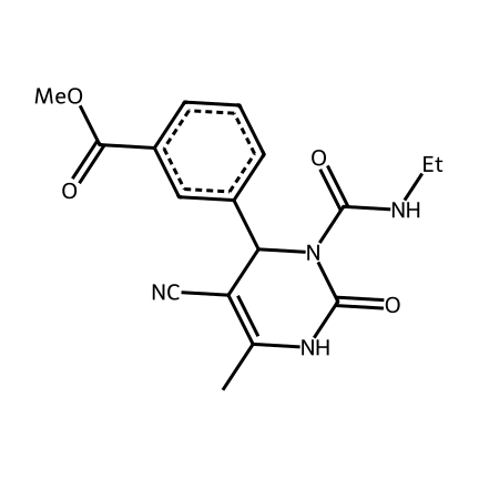 CCNC(=O)N1C(=O)NC(C)=C(C#N)C1c1cccc(C(=O)OC)c1